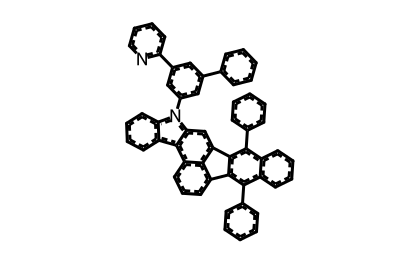 c1ccc(-c2cc(-c3ccccn3)cc(-n3c4ccccc4c4c5cccc6c5c(cc43)-c3c-6c(-c4ccccc4)c4ccccc4c3-c3ccccc3)c2)cc1